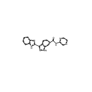 O=C(Nc1cnccn1)c1ccc2c(-c3nc4ccccc4[nH]3)n[nH]c2c1